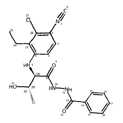 [C-]#[N+]c1ccc(N[C@@H](C(=O)NNC(=O)c2ccccc2)[C@H](C)O)c(CC)c1Cl